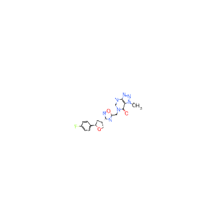 Cn1nnc2ncn(Cc3nc([C@@H]4CO[C@@H](c5ccc(F)cc5)C4)no3)c(=O)c21